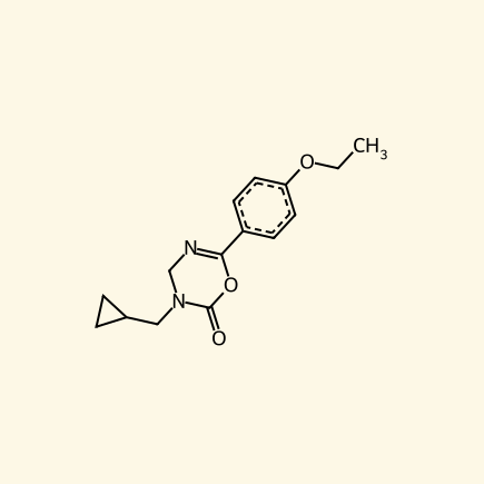 CCOc1ccc(C2=NCN(CC3CC3)C(=O)O2)cc1